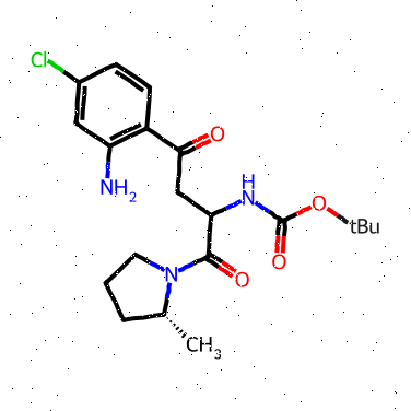 C[C@@H]1CCCN1C(=O)C(CC(=O)c1ccc(Cl)cc1N)NC(=O)OC(C)(C)C